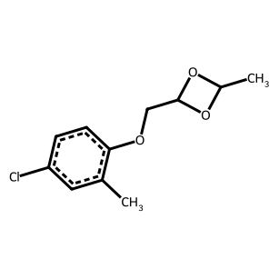 Cc1cc(Cl)ccc1OCC1OC(C)O1